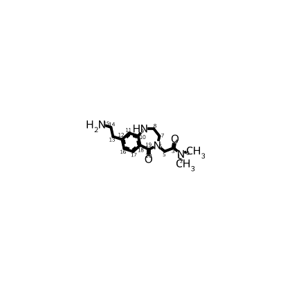 CN(C)C(=O)CN1CCNc2cc(CCN)ccc2C1=O